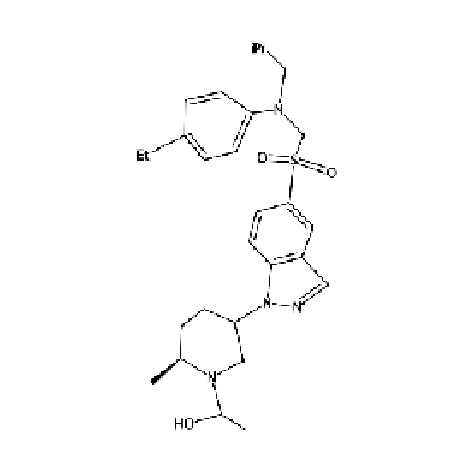 CCc1ccc(N(CC(C)C)CS(=O)(=O)c2ccc3c(cnn3C3CC[C@H](C)N(C(C)O)C3)c2)cc1